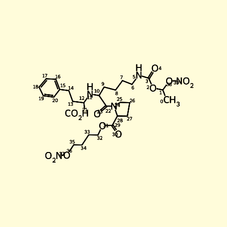 CC(OC(=O)NCCCCC(NC(CCc1ccccc1)C(=O)O)C(=O)N1CCCC1C(=O)OCCCCO[N+](=O)[O-])O[N+](=O)[O-]